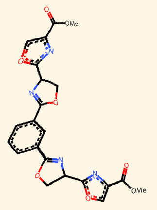 COC(=O)c1coc(C2COC(c3cccc(C4=NC(c5nc(C(=O)OC)co5)CO4)c3)=N2)n1